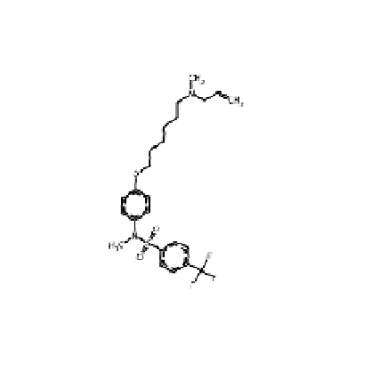 C=CCN(C)CCCCCCOc1ccc(N(C)S(=O)(=O)c2ccc(C(F)(F)F)cc2)cc1